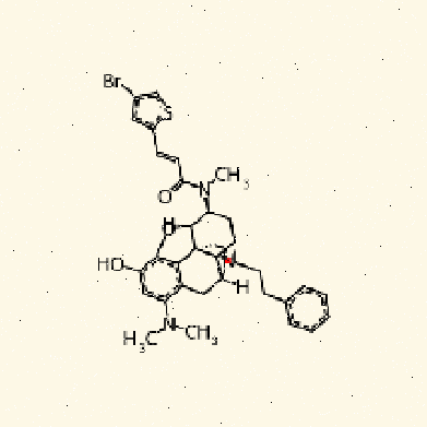 CN(C)c1cc(O)c2c3c1C[C@@H]1[C@@H]4CC[C@H](N(C)C(=O)/C=C/c5cc(Br)cs5)[C@H](O2)[C@]34CCN1CCc1ccccc1